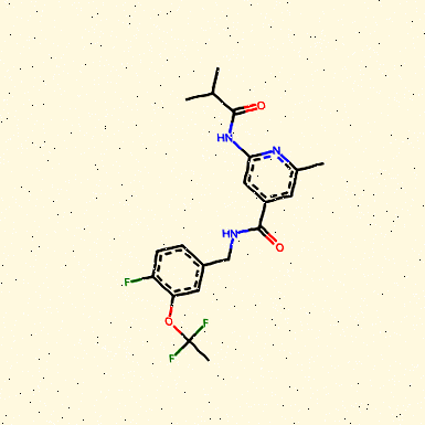 Cc1cc(C(=O)NCc2ccc(F)c(OC(C)(F)F)c2)cc(NC(=O)C(C)C)n1